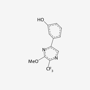 COc1nc(-c2cccc(O)c2)cnc1C(F)(F)F